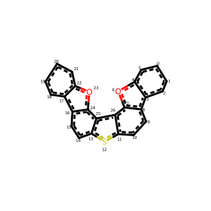 c1ccc2c(c1)oc1c2ccc2sc3ccc4c5ccccc5oc4c3c21